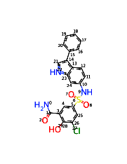 NC(=O)c1cc(S(=O)(=O)Nc2ccc3c(-c4ccccc4)c[nH]c3c2)cc(Cl)c1O